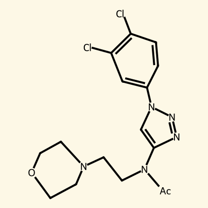 CC(=O)N(CCN1CCOCC1)c1cn(-c2ccc(Cl)c(Cl)c2)nn1